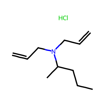 C=CCN(CC=C)C(C)CCC.Cl